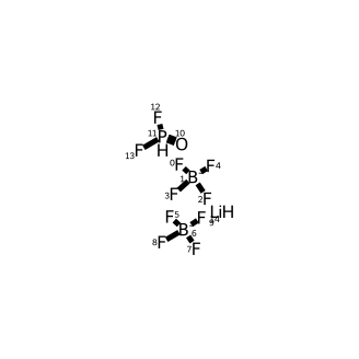 F[B-](F)(F)F.F[B-](F)(F)F.O=[PH](F)F.[LiH]